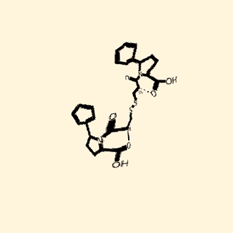 C[C@H](CSSC[C@@H](C)C(=O)N1C(C(=O)O)CCC1c1ccccc1)C(=O)N1C(C(=O)O)CCC1c1ccccc1